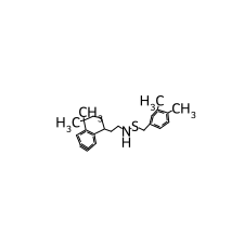 Cc1ccc(CSNCCC2CCC(C)(C)c3cc#ccc32)cc1C